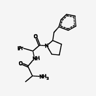 CC(N)C(=O)NC(C(=O)N1CCCC1Cc1ccccc1)C(C)C